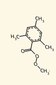 [CH2]OOC(=O)c1c(C)cc(C)cc1C